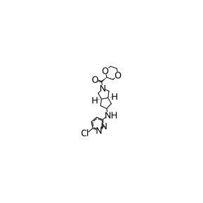 O=C([C@@H]1COCCO1)N1C[C@H]2CC(Nc3ccc(Cl)nn3)C[C@H]2C1